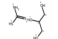 NC(=S)S.OCC(O)CO